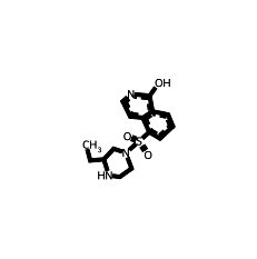 CCC1CN(S(=O)(=O)c2cccc3c(O)nccc23)CCN1